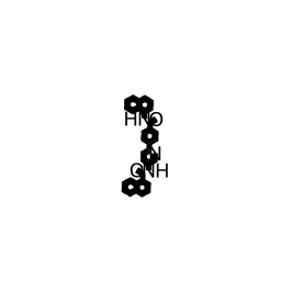 O=C(Nc1cccc2ccccc12)c1ccc(-c2ccc(NC(=O)c3cccc4ccccc34)cn2)cc1